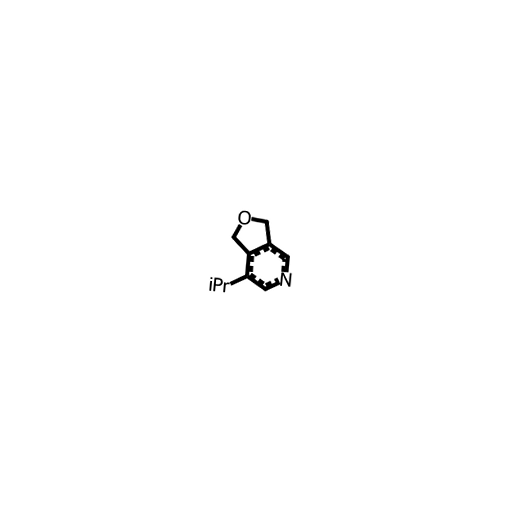 CC(C)c1cncc2c1COC2